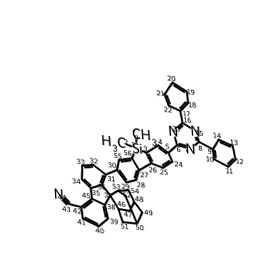 C[Si]1(C)c2cc(-c3nc(-c4ccccc4)nc(-c4ccccc4)n3)ccc2-c2ccc(-c3cccc4c3C3(c5cccc(C#N)c5-4)C4CC5CC(C4)CC3C5)cc21